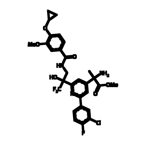 COC(=O)C(C)(N)c1cc(-c2ccc(F)c(Cl)c2)nc(C(O)(CNC(=O)c2ccc(OC3CC3)c(OC)c2)C(F)(F)F)c1